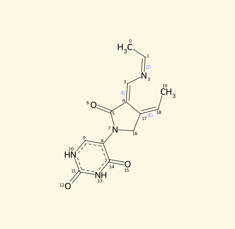 C\C=N/C=C1/C(=O)N(c2c[nH]c(=O)[nH]c2=O)C/C1=C/C